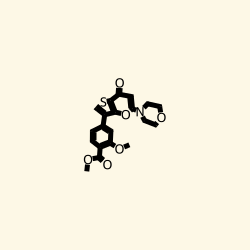 COC(=O)c1ccc(-c2csc3c(=O)cc(N4CCOCC4)oc23)cc1OC